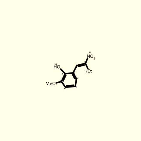 CC/C(=C\c1cccc(OC)c1O)[N+](=O)[O-]